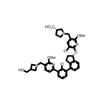 COc1nc(-c2cccc(-c3cccc4c3CC[C@@H]4Oc3nc(OC)c(CN4CC[C@H](C(=O)O)C4)cc3Cl)c2Cl)ccc1CN1CC(CO)C1